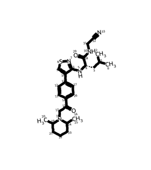 CC(C)C[C@H](Nc1nscc1-c1ccc(C(=O)CN2C(C)CCCC2C)cc1)C(=O)NCC#N